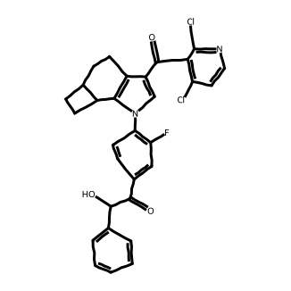 O=C(c1cn(-c2ccc(C(=O)C(O)c3ccccc3)cc2F)c2c1CCC1CCC21)c1c(Cl)ccnc1Cl